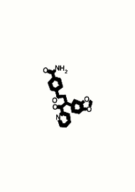 NC(=O)c1ccc(C(=O)CC(C(=O)c2ccccn2)c2ccc3c(c2)OCO3)cc1